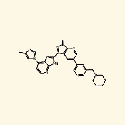 Cc1cn(-c2ccnc3[nH]c(-c4n[nH]c5ncc(-c6cncc(CN7CCCCC7)c6)cc45)cc23)cn1